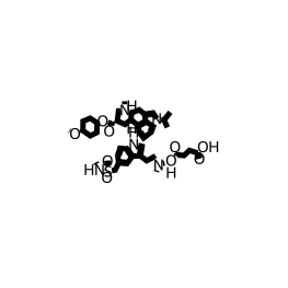 CNS(=O)(=O)Cc1ccc2[nH]cc(CCN(C)C)c2c1.CO[C@H]1CC[C@H](OC(=O)[C@@H]2C[C@@H]3c4cccc5c4c(cn5C(C)C)C[C@H]3N(C)C2)CC1.O=C(O)CCC(=O)O